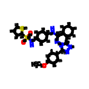 COc1ccc(-c2nnc3c4ccccc4c(Nc4ccc(NS(=O)(=O)c5cccs5)cc4)nn23)cc1